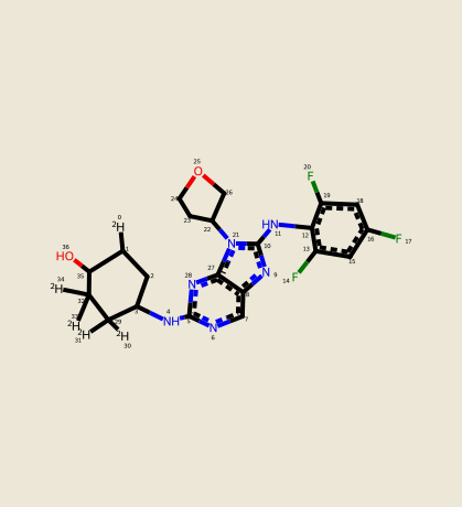 [2H]C1CC(Nc2ncc3nc(Nc4c(F)cc(F)cc4F)n(C4CCOC4)c3n2)C([2H])([2H])C([2H])([2H])C1O